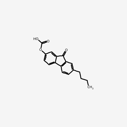 CCCCc1ccc2c(c1)C(=O)c1cc(OC(=O)O)ccc1-2